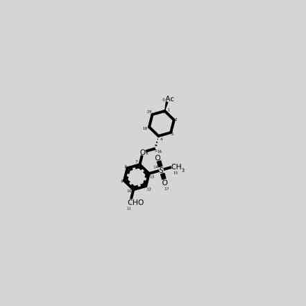 CC(=O)[C@H]1CC[C@H](COc2ccc(C=O)cc2S(C)(=O)=O)CC1